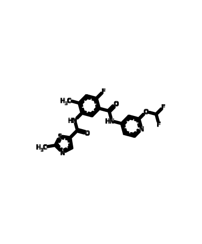 Cc1ncc(C(=O)Nc2cc(C(=O)Nc3ccnc(OC(F)F)c3)c(F)cc2C)s1